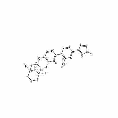 Cn1ccc(-c2ccc(-c3ccc(O[C@H]4C[C@@H]5CCC[C@@H](N5)[C@H]4F)nn3)c(O)c2)n1